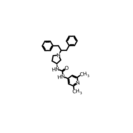 Cc1cc(NC(=O)N[C@H]2CCN(C(Cc3ccccc3)Cc3ccccc3)C2)cc(C)n1